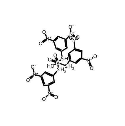 O=[N+]([O-])c1cc([SiH2][V](=[O])(=[O])([OH])([SiH2]c2cc([N+](=O)[O-])cc([N+](=O)[O-])c2)[SiH2]c2cc([N+](=O)[O-])cc([N+](=O)[O-])c2)cc([N+](=O)[O-])c1